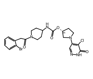 O=C(NC1CCN(C(=O)Cc2ccccc2Br)CC1)O[C@@H]1CCN(c2cn[nH]c(=O)c2Cl)C1